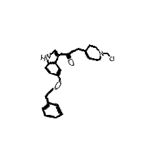 O=C(CC1CCN(CCl)CC1)c1c[nH]c2ccc(OCc3ccccc3)cc12